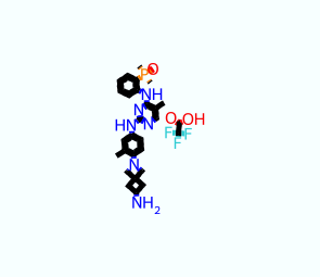 Cc1cc(Nc2ncc(C)c(Nc3ccccc3P(C)(C)=O)n2)ccc1N1CC2(CC(N)C2)C1.O=C(O)C(F)(F)F